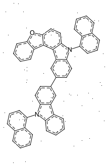 c1ccc2c(-n3c4ccccc4c4cc(-c5ccc6c(c5)c5c7c(ccc5n6-c5cccc6ccccc56)oc5ccccc57)ccc43)cccc2c1